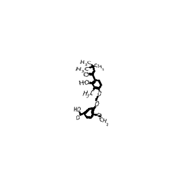 COc1ccc(C(=O)O)cc1OCOc1ccc(C(=O)CC(C)(C)C)c(O)c1C